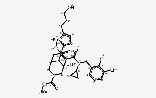 CC(C)(C)OC(=O)N1CC2CC(c3nc(CCCO)cs3)=C(C(=O)N(Cc3cccc(Cl)c3Cl)C3CC3)[C@@H](C1)N2C(=O)OC(C)(C)C